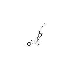 COc1ccc2c(c1)C(=O)N(C[C@@]1(c3cc4cc(C(=O)NCCNC(C)C)c(F)cc4o3)NC(=O)NC1=O)C2